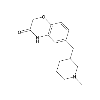 CN1CCCC(Cc2ccc3c(c2)NC(=O)CO3)C1